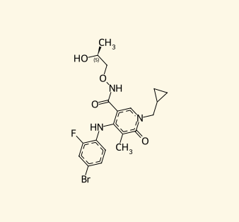 Cc1c(Nc2ccc(Br)cc2F)c(C(=O)NOC[C@H](C)O)cn(CC2CC2)c1=O